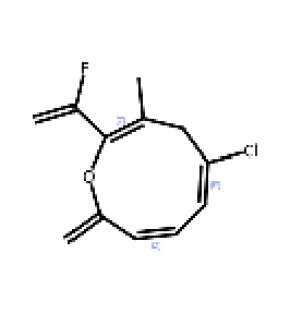 C=C1/C=C\C=C(\Cl)C/C(C)=C(/C(=C)F)O1